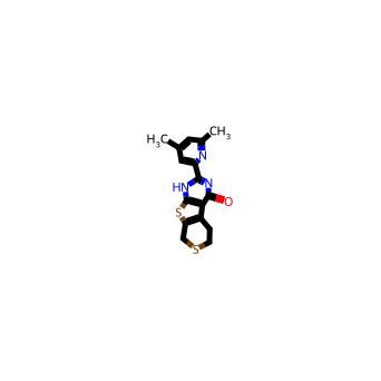 Cc1cc(C)nc(-c2nc(=O)c3c4c(sc3[nH]2)CSCC4)c1